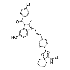 CCNC(=O)C1(OCc2ccc(/C=C/Cn3c(C)c(C(=O)c4ccc(CC)cc4)c4cc(O)ccc43)cn2)CCCCC1